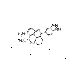 CC(=N)c1c(N)ccc2nc(-c3ccc4[nH]ncc4c3)c3c(c12)CCCC3